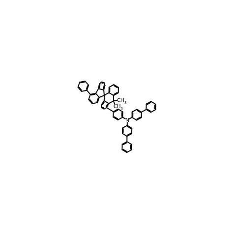 CC1(C)c2ccccc2C2(c3ccccc3-c3c(-c4ccccc4)cccc32)c2cccc(-c3ccc(N(c4ccc(-c5ccccc5)cc4)c4ccc(-c5ccccc5)cc4)cc3)c21